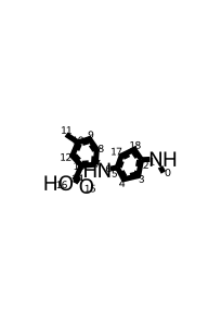 CNc1ccc(Nc2ccc(C)cc2C(=O)O)cc1